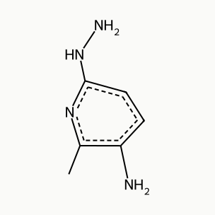 Cc1nc(NN)ccc1N